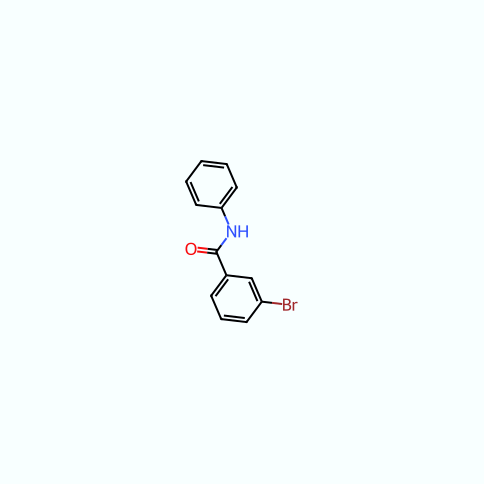 O=C(Nc1ccccc1)c1cccc(Br)c1